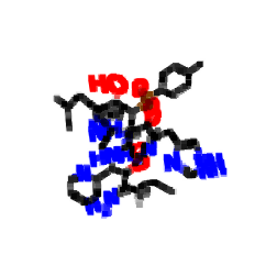 CC[C@H](C)[C@H](N)C(=O)C(NC(=O)[C@@](C(=O)[C@@H](N)Cc1c[nH]cn1)(C(C)C)C([C@@H](O)[C@@H](N)CC(C)C)S(=O)(=O)c1ccc(C)cc1)c1ccccn1